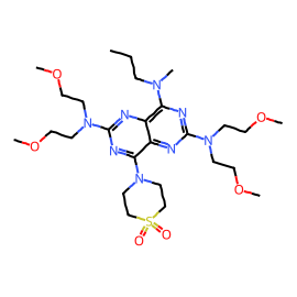 CCCN(C)c1nc(N(CCOC)CCOC)nc2c(N3CCS(=O)(=O)CC3)nc(N(CCOC)CCOC)nc12